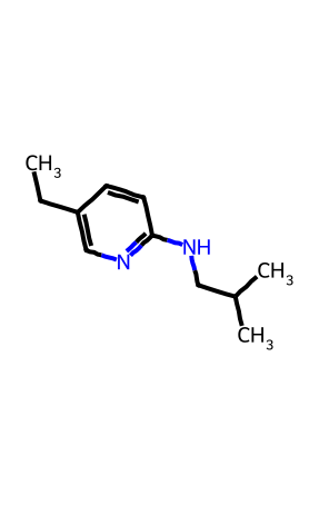 CCc1ccc(NCC(C)C)nc1